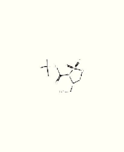 CC(C)(C)OC(=O)N1[C@H](CO)COS1(=O)=O